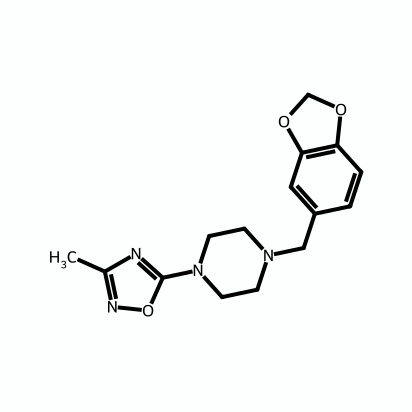 Cc1noc(N2CCN(Cc3ccc4c(c3)OCO4)CC2)n1